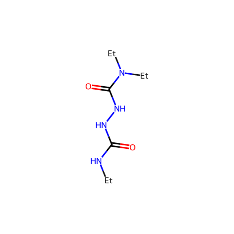 CCNC(=O)NNC(=O)N(CC)CC